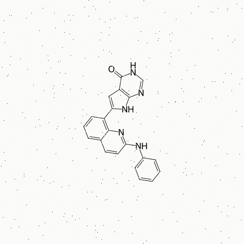 O=c1[nH]cnc2[nH]c(-c3cccc4ccc(Nc5ccccc5)nc34)cc12